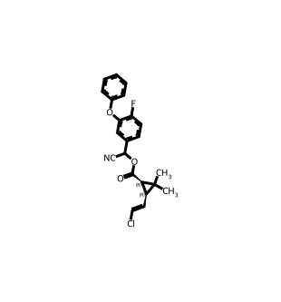 CC1(C)[C@H](C(=O)OC(C#N)c2ccc(F)c(Oc3ccccc3)c2)[C@@H]1C=CCl